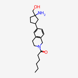 CCCCCC(=O)N1CCc2cc(C3CCC(N)(CO)C3)ccc2C1